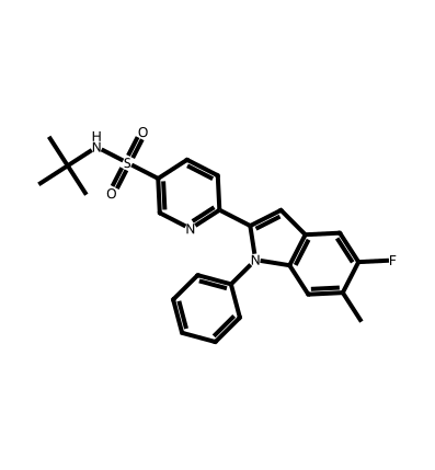 Cc1cc2c(cc1F)cc(-c1ccc(S(=O)(=O)NC(C)(C)C)cn1)n2-c1ccccc1